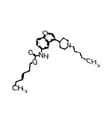 CCC=CCCOC(=O)Nc1ccc2occ(C3CCN(CCCCC)CC3)c2c1